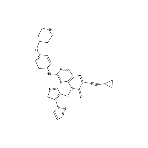 O=c1c(C#CC2CC2)cc2cnc(Nc3ccc(OC4CCNCC4)cc3)nc2n1Cc1cnsc1-n1cccn1